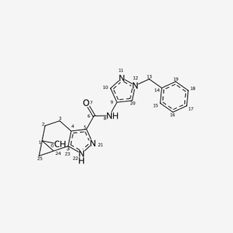 CC12CCc3c(C(=O)Nc4cnn(Cc5ccccc5)c4)n[nH]c3C1C2